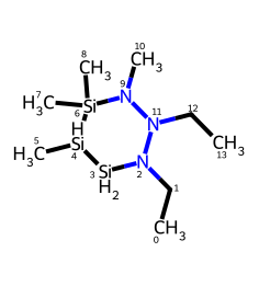 CCN1[SiH2][SiH](C)[Si](C)(C)N(C)N1CC